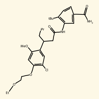 CCOCCOc1cc(OC)c(C(CC(=O)Nc2cc(C(N)=O)ccc2C(C)(C)C)CC(C)C)cc1Cl